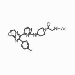 CC(=O)NCC(=O)N1CCC(Nc2nccc(-c3c(-c4ccc(F)cc4)nc4occn34)n2)CC1